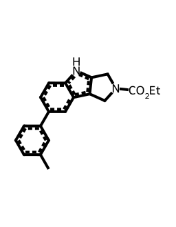 CCOC(=O)N1Cc2[nH]c3ccc(-c4cccc(C)c4)cc3c2C1